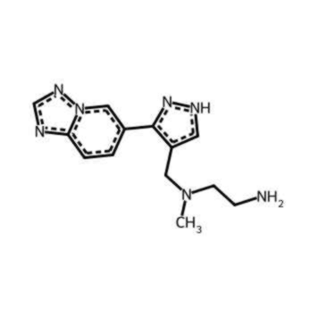 CN(CCN)Cc1c[nH]nc1-c1ccc2ncnn2c1